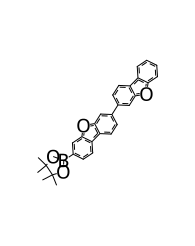 CC1(C)OB(c2ccc3c(c2)oc2cc(-c4ccc5c(c4)oc4ccccc45)ccc23)OC1(C)C